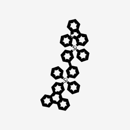 c1ccc([Si](c2ccccc2)(c2cccc(-c3cccc([Si](c4ccccc4)(c4ccccc4)c4cccc5c4sc4ccccc45)c3)c2)c2ccc3c4ccccc4c4ccccc4c3c2)cc1